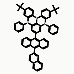 CC(C)(C)c1ccc2c(c1)N(c1ccccc1)c1cc(-c3c4ccccc4c(-c4ccc5ccccc5c4)c4ccccc34)cc3c1B2c1ccc(C(C)(C)C)cc1N3c1ccccc1